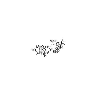 C=C(CCO)CNC(=O)c1cc(OC)c(OCCCCCOc2cc(NC(=O)OC(C)(C)C)c(C(=O)N3CC(=C)C[C@H]3C)cc2OC)cc1NC(=C)OC[C@@H](C)S